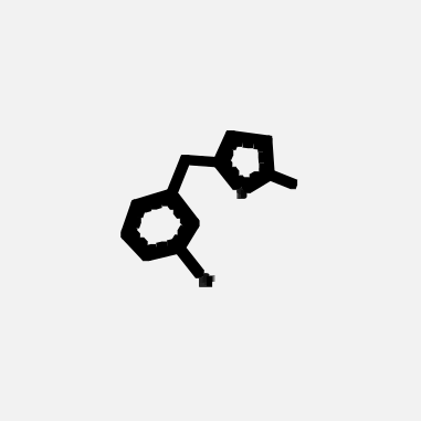 Cc1ccc(Cc2cccc(Br)c2)s1